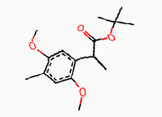 COc1cc(C(C)C(=O)OC(C)(C)C)c(OC)cc1C